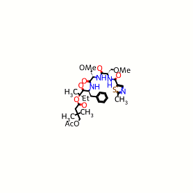 CC[C@@](C)(OC(=O)CC(C)(C)COC(C)=O)C(=O)[C@H](Cc1ccccc1)NC(=O)[C@H](COC)NC(=O)[C@H](COC)NC(=O)c1cnc(C)s1